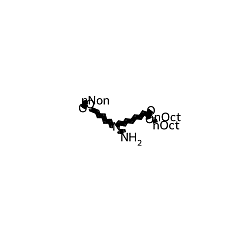 CCCCCCCCCC(=O)OCCCCCCCN(CCN)CCCCCCCC(=O)OC(CCCCCCCC)CCCCCCCC